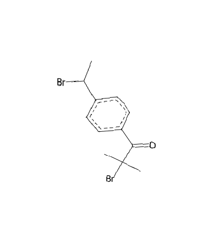 CC(Br)c1ccc(C(=O)C(C)(C)Br)cc1